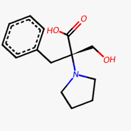 O=C(O)[C@@](CO)(Cc1ccccc1)N1CCCC1